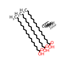 CCCCCCCCCCCCCCCCCC(=O)O.CCCCCCCCCCCCCCCCCC(=O)O.CCCCCCCCCCCCCCCCCC(=O)O.[CaH2].[CaH2].[CaH2].[CaH2]